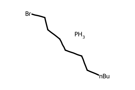 CCCCCCCCCCBr.P